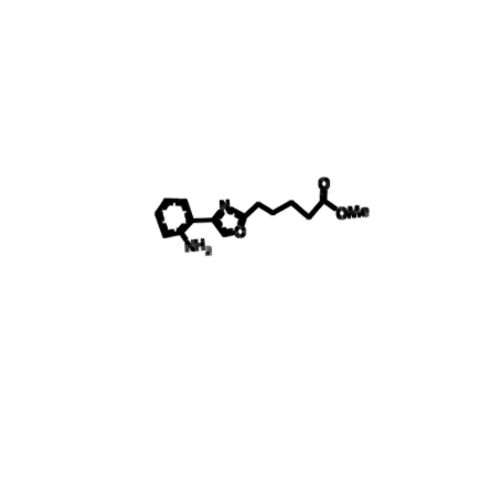 COC(=O)CCCCc1nc(-c2ccccc2N)co1